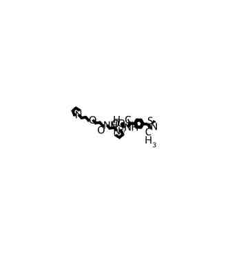 Cc1ncsc1-c1ccc([C@H](C)NC(=O)[C@@H]2CCCN2C(=O)CNC(=O)CCOCCCN2CCCC2)cc1